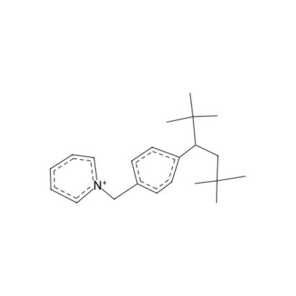 CC(C)(C)CC(c1ccc(C[n+]2ccccc2)cc1)C(C)(C)C